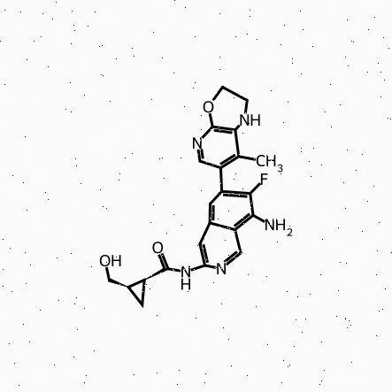 Cc1c(-c2cc3cc(NC(=O)[C@H]4C[C@H]4CO)ncc3c(N)c2F)cnc2c1NCCO2